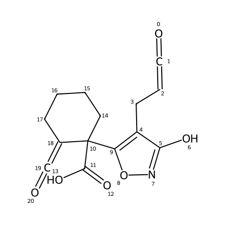 O=C=CCc1c(O)noc1C1(C(=O)O)CCCCC1=C=O